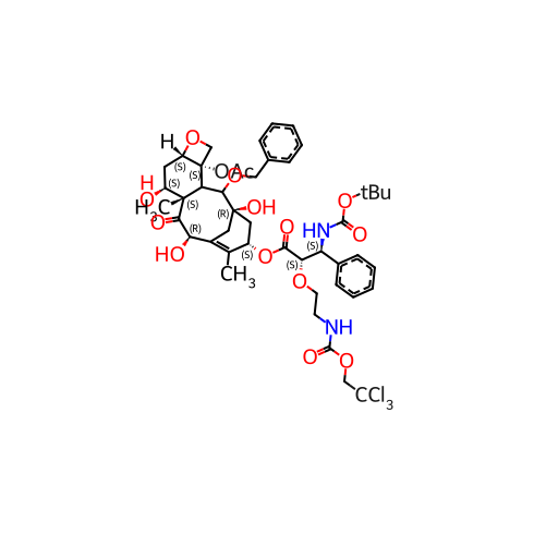 CC(=O)O[C@@]12CO[C@H]1C[C@H](O)[C@@]1(C)C(=O)[C@H](O)C3=C(C)[C@@H](OC(=O)[C@@H](OCCNC(=O)OCC(Cl)(Cl)Cl)[C@@H](NC(=O)OC(C)(C)C)c4ccccc4)C[C@](O)(C3)C(OCc3ccccc3)C12